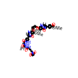 COC(=O)c1ccc(C2=CN3C(=O)c4cc(OC)c(OCC(C)(C)CC(C)(C)COc5cc6c(cc5OC)C(=O)N5C=C(c7ccc(NC(=O)[C@H](C)NC(=O)C(NC(=O)CCCCCN8C(=O)C=CC8=O)C(C)C)cc7)C[C@H]5C=N6)cc4N=C[C@@H]3C2)cc1